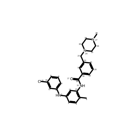 Cc1ccc(Nc2cccc(Cl)c2)cc1NC(=O)c1cccc(CN2CCN(C)CC2)c1